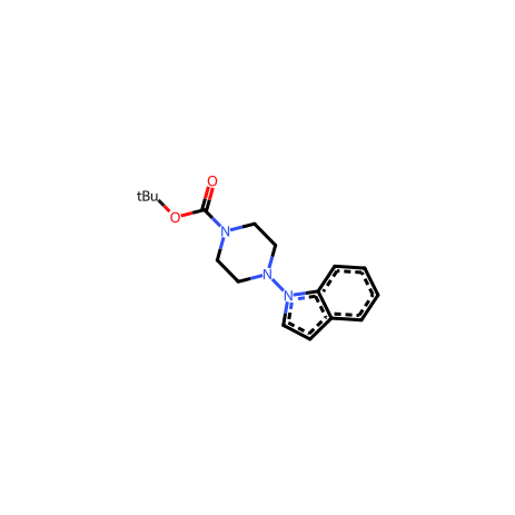 CC(C)(C)OC(=O)N1CCN(n2ccc3ccccc32)CC1